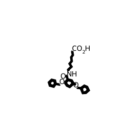 O=C(O)CCCCCCCNC(=O)c1cc(OCc2ccccc2)ccc1OCc1ccccc1